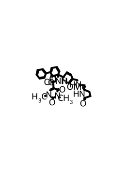 COc1nc(C2(NC(=O)c3cn(C)c(=O)n(C)c3=O)C=CC=C(c3ccccc3Cl)[C@@H]2Cl)ccc1CNCC1CCC(=O)N1